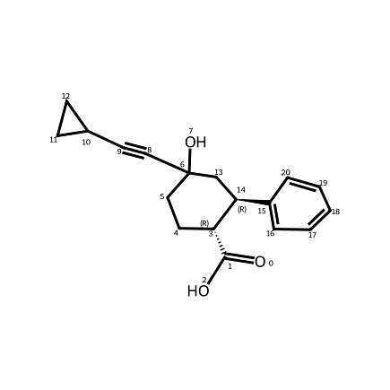 O=C(O)[C@@H]1CCC(O)(C#CC2CC2)C[C@H]1c1ccccc1